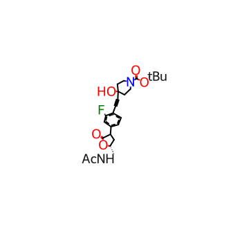 CC(=O)NC[C@H]1CC(c2ccc(C#CC3(O)CCN(C(=O)OC(C)(C)C)CC3)c(F)c2)C(=O)O1